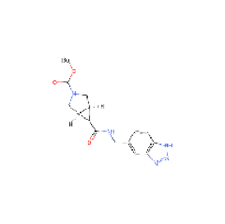 CC(C)(C)OC(=O)N1C[C@@H]2C(C(=O)NCc3ccc4[nH]nnc4c3)[C@@H]2C1